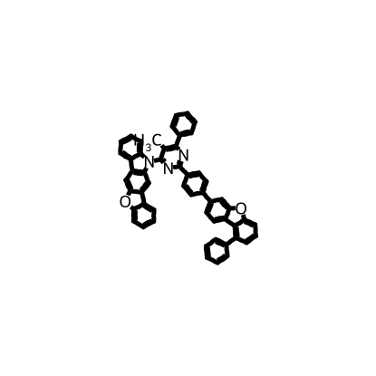 Cc1c(-c2ccccc2)nc(-c2ccc(-c3ccc4c(c3)oc3cccc(-c5ccccc5)c34)cc2)nc1-n1c2ccccc2c2cc3oc4ccccc4c3cc21